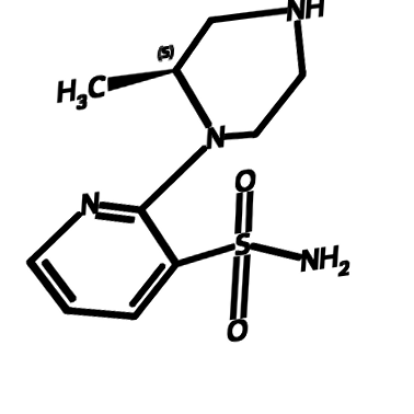 C[C@H]1CNCCN1c1ncccc1S(N)(=O)=O